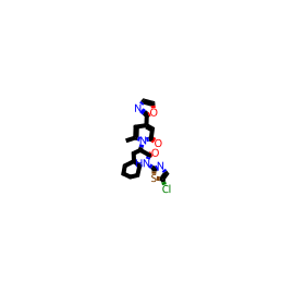 Cc1cc(-c2ncco2)cc(=O)n1C(CC1CCCCC1)C(=O)Nc1ncc(Cl)s1